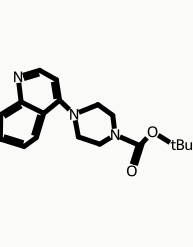 CC(C)(C)OC(=O)N1CCN(c2ccnc3ccccc23)CC1